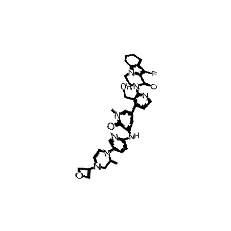 CC1CN(C2COC2)CCN1c1ccc(Nc2cc(-c3ccnc(N4CCn5c6c(c(F)c5C4=O)CCCC6)c3CO)cn(C)c2=O)nc1